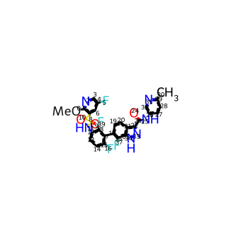 COc1ncc(F)cc1S(=O)(=O)Nc1ccc(F)c(-c2ccc3c(C(=O)Nc4ccc(C)nc4)n[nH]c3c2F)c1F